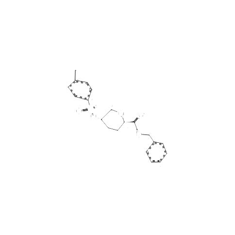 Cc1ccc(S(=O)(=O)O[C@H]2CC[C@H](C(=O)OCc3ccccc3)OC2)cc1